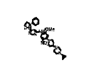 COc1cc(N2CCC(N3CCN(C4CC4)CC3)CC2)c([N+](=O)[O-])cc1Nc1cc(N2OCC[C@@H]2c2ccccc2)ncn1